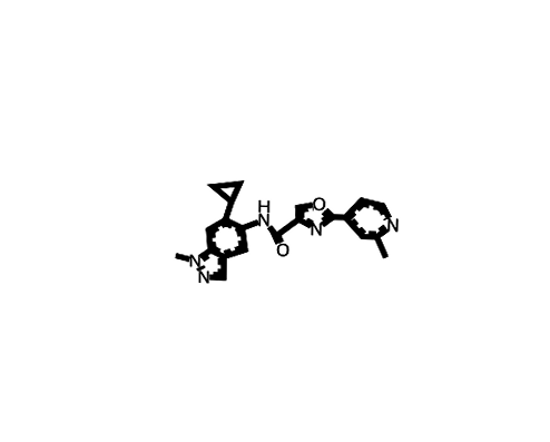 Cc1cc(-c2nc(C(=O)Nc3cc4cnn(C)c4cc3C3CC3)co2)ccn1